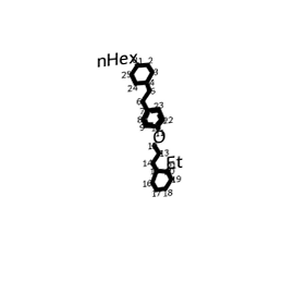 CCCCCCC1CCC(CCc2ccc(OCCCC3CCCCC3CC)cc2)CC1